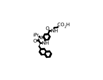 CC(C)NC(=O)[C@H](Cc1ccc2ccccc2c1)Nc1ccc(C(=O)NCCC(=O)O)cc1